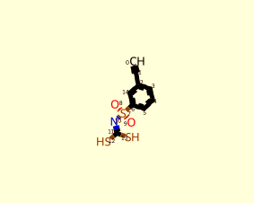 C#Cc1cccc(S(=O)(=O)N=C(S)S)c1